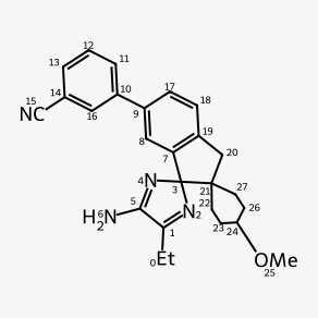 CCC1=NC2(N=C1N)c1cc(-c3cccc(C#N)c3)ccc1CC21CCC(OC)CC1